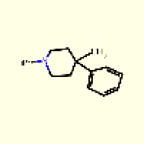 CC(C)N1CCC(C)(c2ccccc2)CC1